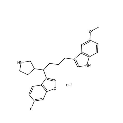 COc1ccc2[nH]cc(CCCC(c3noc4cc(F)ccc34)C3CCNC3)c2c1.Cl